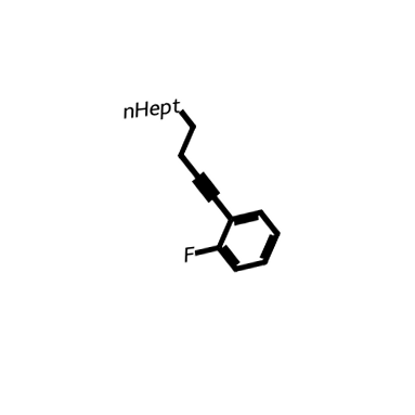 CCCCCCCCCC#Cc1ccccc1F